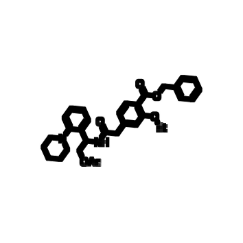 CCOc1cc(CC(=O)NC(COC(C)=O)c2ccccc2N2CCCCC2)ccc1C(=O)OCc1ccccc1